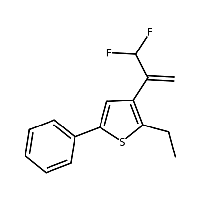 C=C(c1cc(-c2ccccc2)sc1CC)C(F)F